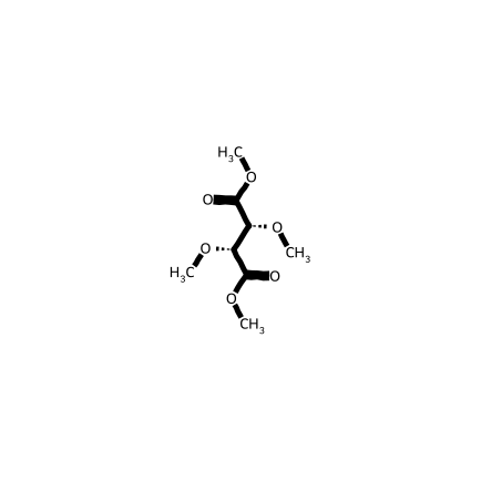 COC(=O)[C@H](OC)[C@@H](OC)C(=O)OC